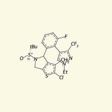 CCn1cc(-c2c(F)cccc2C2c3c(sc(Cl)c3C)CN2[S@+]([O-])C(C)(C)C)c(C(F)(F)F)n1